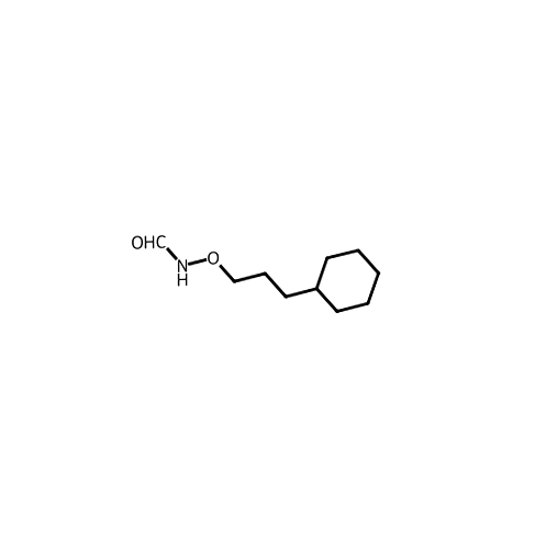 O=CNOCCCC1CCCCC1